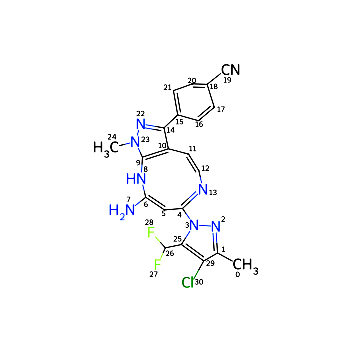 Cc1nn(-c2cc(N)[nH]c3c(ccn2)c(-c2ccc(C#N)cc2)nn3C)c(C(F)F)c1Cl